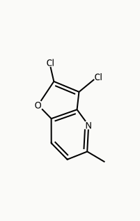 Cc1ccc2oc(Cl)c(Cl)c2n1